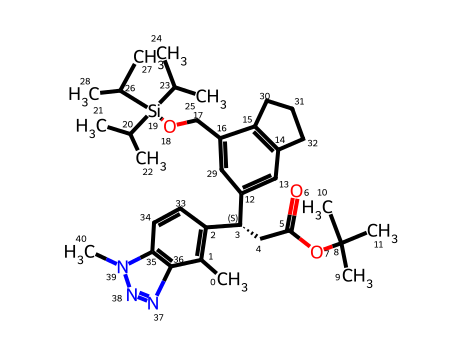 Cc1c([C@@H](CC(=O)OC(C)(C)C)c2cc3c(c(CO[Si](C(C)C)(C(C)C)C(C)C)c2)CCC3)ccc2c1nnn2C